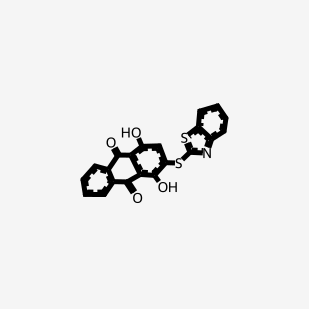 O=C1c2ccccc2C(=O)c2c(O)c(Sc3nc4ccccc4s3)cc(O)c21